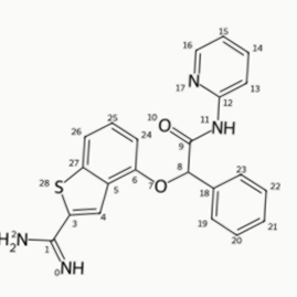 N=C(N)c1cc2c(OC(C(=O)Nc3ccccn3)c3ccccc3)cccc2s1